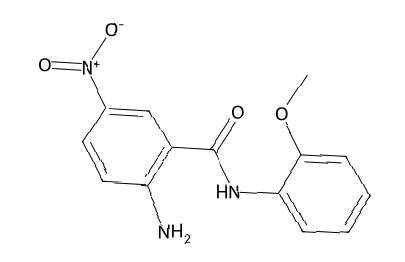 COc1ccccc1NC(=O)c1cc([N+](=O)[O-])ccc1N